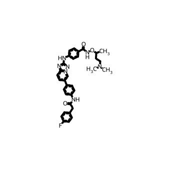 CC(CCN(C)C)ONC(=O)c1ccc(Nc2nc3ccc(-c4ccc(NC(=O)Cc5ccc(F)cc5)cc4)cn3n2)cc1